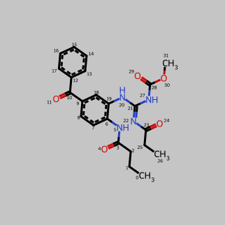 CCCC(=O)Nc1ccc(C(=O)c2ccccc2)cc1NC(=NC(=O)CC)NC(=O)OC